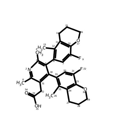 Cc1nc(C)c(-c2cc(F)c3c(c2C)CCCO3)c(-c2cc(F)c3c(c2C)CCCO3)c1CC(=O)O